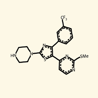 CSc1nccc(-c2sc(N3CCNCC3)nc2-c2cccc(C(F)(F)F)c2)n1